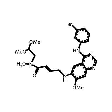 COc1cc2ncnc(Nc3cccc(Br)c3)c2cc1NCC=CC(=O)N(C)CC(OC)OC